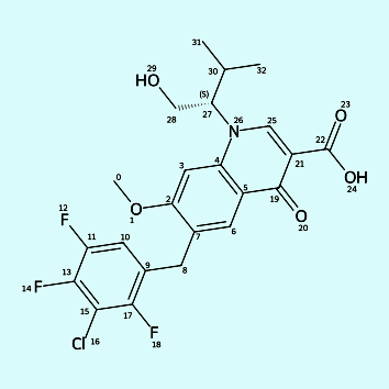 COc1cc2c(cc1Cc1cc(F)c(F)c(Cl)c1F)c(=O)c(C(=O)O)cn2[C@H](CO)C(C)C